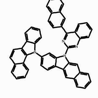 c1ccc2cc(-c3nc(-n4c5cc(-n6c7ccccc7c7ccc8ccccc8c76)ccc5c5cc6ccccc6cc54)nc4ccccc34)ccc2c1